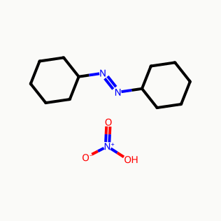 C1CCC(/N=N/C2CCCCC2)CC1.O=[N+]([O-])O